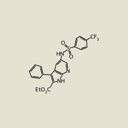 CCOC(=O)c1[nH]c2ncc(NS(=O)(=O)c3ccc(C(F)(F)F)cc3)cc2c1-c1ccccc1